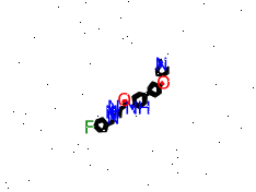 CN1CCC(Oc2ccc(-c3ccc(NC(=O)c4cn(Cc5ccc(F)cc5)nn4)cc3)cc2)CC1